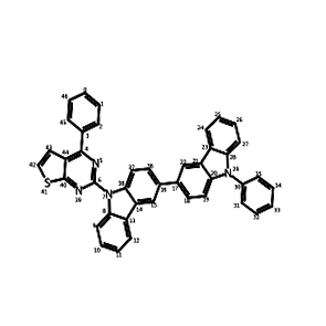 c1ccc(-c2nc(-n3c4ccccc4c4cc(-c5ccc6c(c5)c5ccccc5n6-c5ccccc5)ccc43)nc3sccc23)cc1